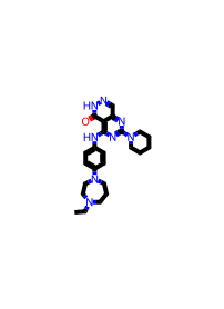 CCN1CCCN(c2ccc(Nc3nc(N4CCCCC4)nc4cn[nH]c(=O)c34)cc2)CC1